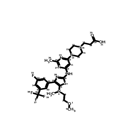 COCCN(C)c1sc(Nc2cc(N3CCN(CCC(=O)O)CC3)nc(C)n2)nc1-c1cc(F)cc(C(F)(F)F)c1